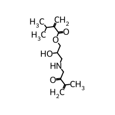 C=C(C)C(=O)CNCC(O)COC(=O)C(=C)C(C)C